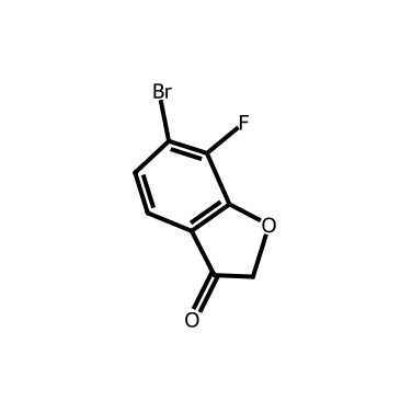 O=C1COc2c1ccc(Br)c2F